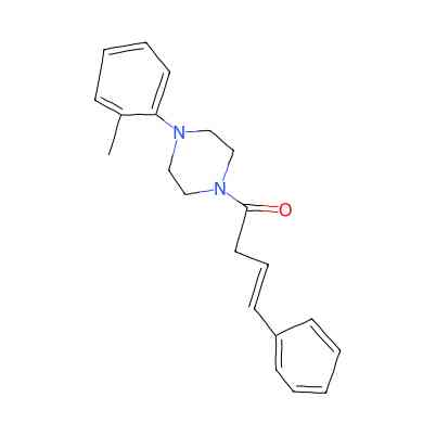 Cc1ccccc1N1CCN(C(=O)C/C=C/c2ccccc2)CC1